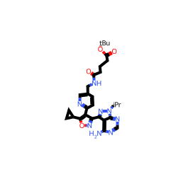 CC(C)n1nc(-c2noc(C3CC3)c2-c2ccc(CNC(=O)CCCC(=O)OC(C)(C)C)cn2)c2c(N)ncnc21